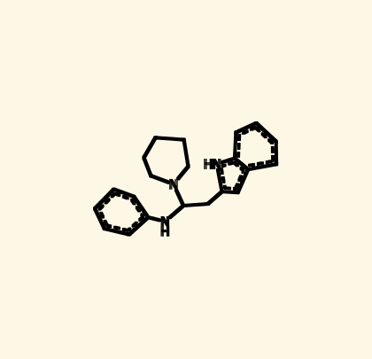 c1ccc(NC(Cc2cc3ccccc3[nH]2)N2CCCCC2)cc1